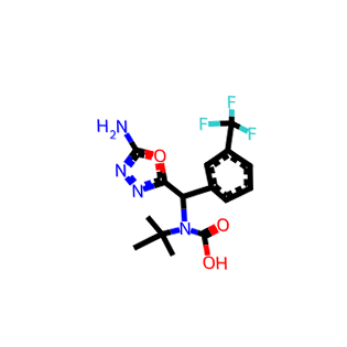 CC(C)(C)N(C(=O)O)C(c1cccc(C(F)(F)F)c1)c1nnc(N)o1